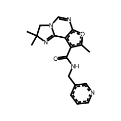 Cc1oc2c(c1C(=O)NCc1cccnc1)C1=NC(C)(C)CN1C=N2